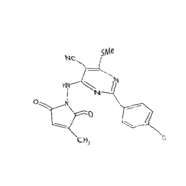 CSc1nc(-c2ccc(Cl)cc2)nc(NN2C(=O)C=C(C)C2=O)c1C#N